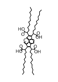 CCCCCCCCCCC(C(=O)O)C1=C(C(CCCCCCCCCC)C(=O)O)c2ccc3c4c(ccc1c24)C(C(CCCCCCCCCC)C(=O)O)=C3C(CCCCCCCCCC)C(=O)O